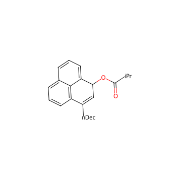 CCCCCCCCCCC1=CC(OC(=O)C(C)C)c2cccc3cccc1c23